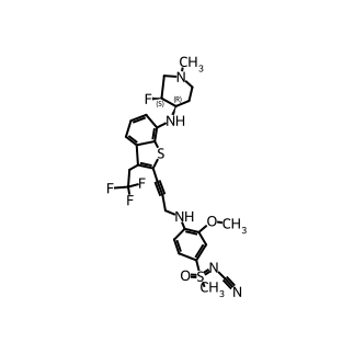 COc1cc(S(C)(=O)=NC#N)ccc1NCC#Cc1sc2c(N[C@@H]3CCN(C)C[C@@H]3F)cccc2c1CC(F)(F)F